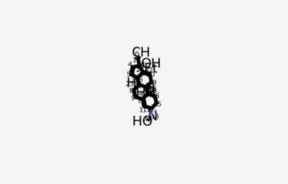 C#C[C@]1(O)C=C[C@H]2[C@@H]3CCC4=C/C(=N\O)CC[C@@H]4[C@H]3CC[C@@]21CC